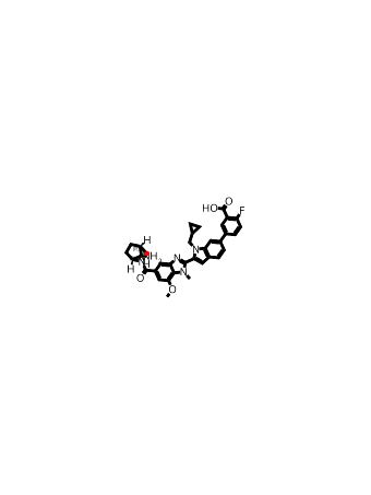 COc1cc(C(=O)N2C[C@H]3CC[C@@H]2[C@@H]3N)cc2nc(-c3cc4ccc(-c5ccc(F)c(C(=O)O)c5)cc4n3CC3CC3)n(C)c12